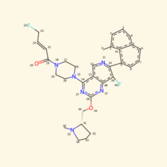 Cc1cccc2cccc(-c3ncc4c(N5CCN(C(=O)/C=C/CF)CC5)nc(OC[C@@H]5CCCN5C)nc4c3F)c12